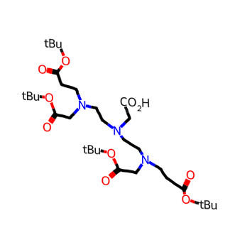 CC(C)(C)OC(=O)CCN(CCN(CCN(CCC(=O)OC(C)(C)C)CC(=O)OC(C)(C)C)CC(=O)O)CC(=O)OC(C)(C)C